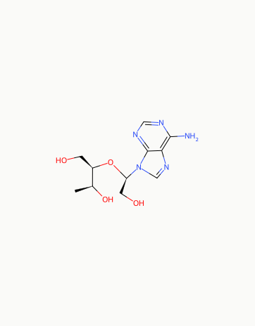 C[C@H](O)[C@@H](CO)O[C@H](CO)n1cnc2c(N)ncnc21